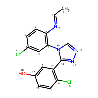 C/C=N/c1ccc(Cl)cc1-n1cnnc1-c1cc(O)ccc1Cl